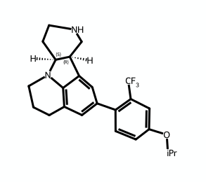 CC(C)Oc1ccc(-c2cc3c4c(c2)[C@@H]2CNCC[C@@H]2N4CCC3)c(C(F)(F)F)c1